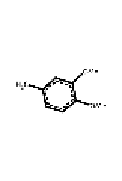 COc1ccc(C)cc1OC